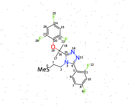 CSCCn1c(-c2ccc(F)cc2F)nnc1C(C)(C)Oc1c(F)cc(F)cc1F